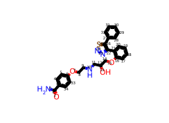 NC(=O)c1ccc(OCCNCC(O)COc2ccccc2-c2nnsc2-c2ccccc2)cc1